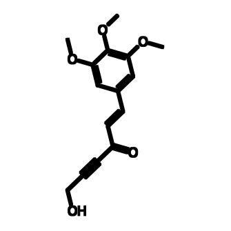 COc1cc(/C=C/C(=O)C#CCO)cc(OC)c1OC